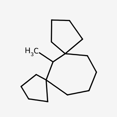 CC1C2(CCCC2)CCCCC12CCCC2